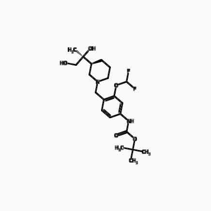 CC(C)(C)OC(=O)Nc1ccc(CN2CCC[C@H]([C@](C)(O)CO)C2)c(OC(F)F)c1